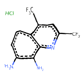 Cl.Nc1ccc2c(C(F)(F)F)cc(C(F)(F)F)nc2c1N